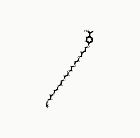 CC(=N)c1ccc(OCCCCOCCOCCOCCOCCOCCOCCN=[N+]=[N-])cc1